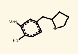 CNc1cc(CC2CCCN2)ccc1O